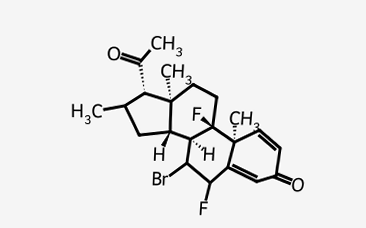 CC(=O)[C@H]1C(C)C[C@H]2[C@@H]3C(Br)C(F)C4=CC(=O)C=C[C@]4(C)[C@@]3(F)CC[C@]12C